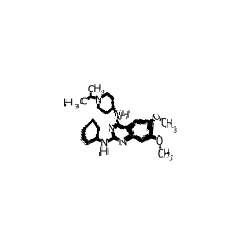 COc1cc2nc(NC3CCCCC3)nc(NC3CCN(C(C)C)CC3)c2cc1OC